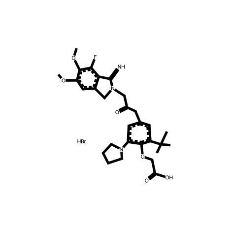 Br.COc1cc2c(c(F)c1OC)C(=N)N(CC(=O)Cc1cc(N3CCCC3)c(OCC(=O)O)c(C(C)(C)C)c1)C2